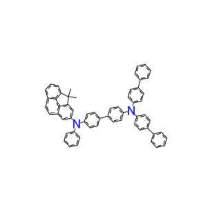 CC1(C)c2cccc3ccc4cc(N(c5ccccc5)c5ccc(-c6ccc(N(c7ccc(-c8ccccc8)cc7)c7ccc(-c8ccccc8)cc7)cc6)cc5)cc1c4c23